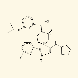 CC(C)Oc1cccc(CN2CC[C@@]3(C[C@@H]2C)C(NC2CCCC2)=NC(=O)N3c2cccc(F)c2)c1.Cl